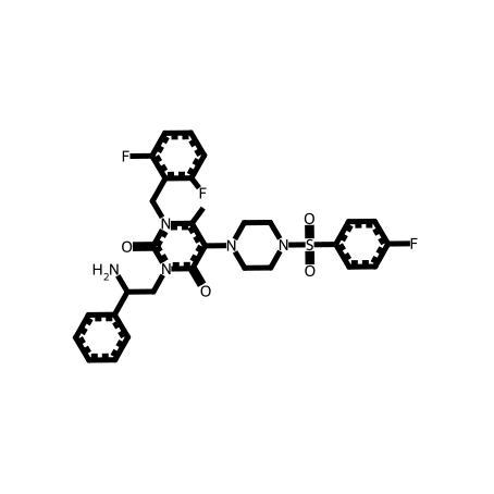 Cc1c(N2CCN(S(=O)(=O)c3ccc(F)cc3)CC2)c(=O)n(CC(N)c2ccccc2)c(=O)n1Cc1c(F)cccc1F